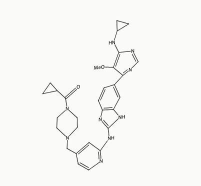 COc1c(NC2CC2)ncnc1-c1ccc2nc(Nc3cc(CN4CCN(C(=O)C5CC5)CC4)ccn3)[nH]c2c1